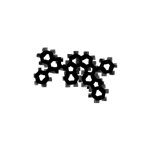 c1ccc(-c2nc(-n3c4ccccc4c4c5c(ccc43)ccc3c5c4ccc5c6ccccc6sc5c4n3-c3ccccc3)nc3ccccc23)cc1